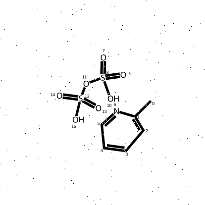 Cc1ccccn1.O=S(=O)(O)OS(=O)(=O)O